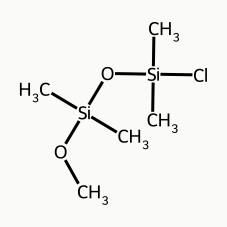 CO[Si](C)(C)O[Si](C)(C)Cl